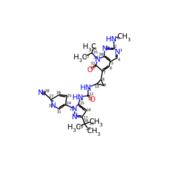 CNc1ncc2cc(C3CC3NC(=O)Nc3cc(C(C)(C)C)nn3-c3ccc(C#N)nc3)c(=O)n(C(C)C)c2n1